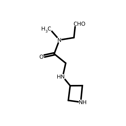 CN(CC=O)C(=O)CNC1CNC1